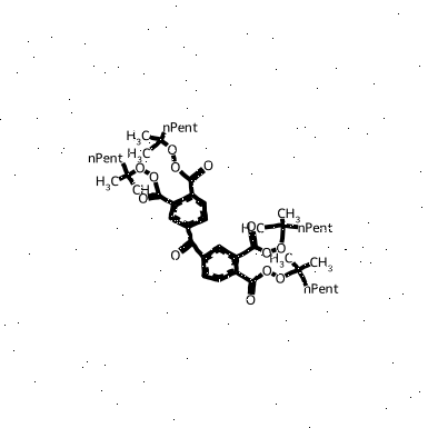 CCCCCC(C)(C)OOC(=O)c1ccc(C(=O)c2ccc(C(=O)OOC(C)(C)CCCCC)c(C(=O)OOC(C)(C)CCCCC)c2)cc1C(=O)OOC(C)(C)CCCCC